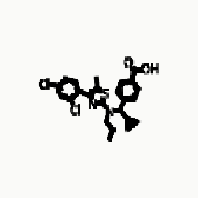 CCCN(c1nc(-c2ccc(Cl)cc2Cl)c(C)s1)C(c1ccc(C(=O)O)cc1)C1CC1